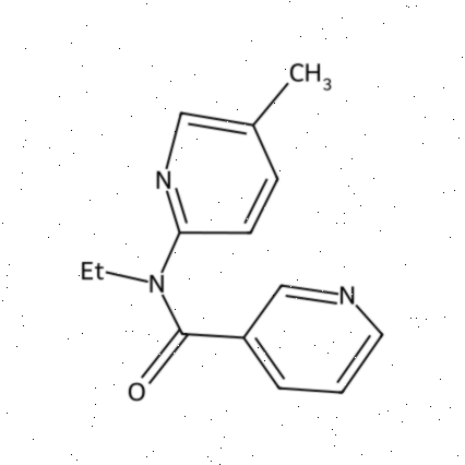 CCN(C(=O)c1cccnc1)c1ccc(C)cn1